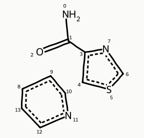 NC(=O)c1cscn1.c1ccncc1